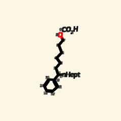 CCCCCCCC(CCCCCCOC(=O)O)c1ccccc1